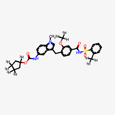 [2H]C([2H])([2H])Oc1cc(C(=O)NS(=O)(=O)c2ccccc2C([2H])([2H])[2H])ccc1Cc1cn(C)c2ccc(NC(=O)OC3([2H])CC([2H])([2H])C([2H])([2H])C3)cc12